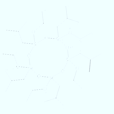 CCO[Si]1(CC(C)C)O[Si](CC(C)C)(OCC)O[Si](CC(C)C)(OCC)O[Si](CC(C)C)(OCC)O[Si](CC(C)C)(OCC)O1